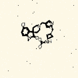 COC(=O)N[C@H]1C[C@@H](Cn2cc(CN3CCC4(CC3)C(=O)N(C)c3ccc(Cl)cc34)cn2)C1